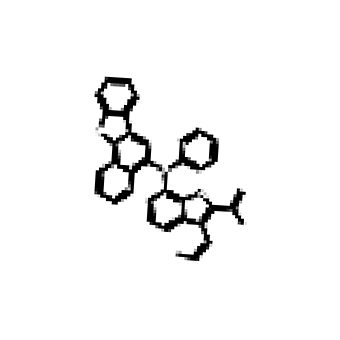 C=C(C)c1oc2c(N(c3ccccc3)c3cc4c5ccccc5oc4c4ccccc34)cccc2c1/C=C\C